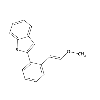 CO/C=C/c1ccccc1-c1cc2ccccc2s1